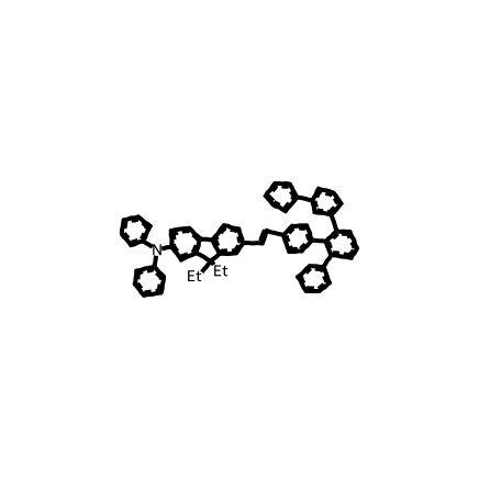 CCC1(CC)c2cc(/C=C/c3ccc(-c4c(-c5ccccc5)cccc4-c4cccc(-c5ccccc5)c4)cc3)ccc2-c2ccc(N(c3ccccc3)c3ccccc3)cc21